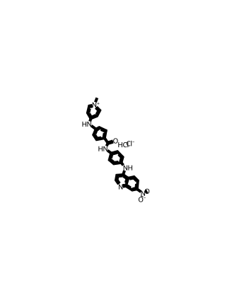 C[n+]1ccc(Nc2ccc(C(=O)Nc3ccc(Nc4ccnc5cc([N+](=O)[O-])ccc45)cc3)cc2)cc1.Cl.[Cl-]